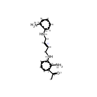 CC(=O)c1cccc(NC/C=C/CNc2ccccc2N)c1N